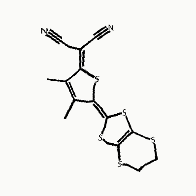 Cc1c(C)c(=C2SC3=C(SCCS3)S2)sc1=C(C#N)C#N